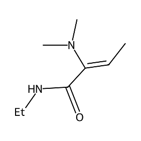 CC=C(C(=O)NCC)N(C)C